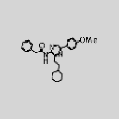 COc1ccc(-c2cnc(NC(=O)Cc3ccccc3)c(CCC3CCCCC3)n2)cc1